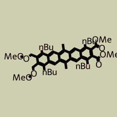 CCCCc1c(COOC)c(COOC)c(CCCC)c2cc3c(C)c4cc5c(CCCC)c(C(=O)OC)c(C(=O)OC)c(CCCC)c5cc4c(C)c3cc12